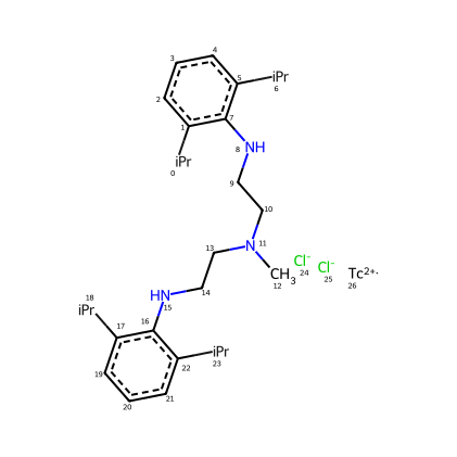 CC(C)c1cccc(C(C)C)c1NCCN(C)CCNc1c(C(C)C)cccc1C(C)C.[Cl-].[Cl-].[Tc+2]